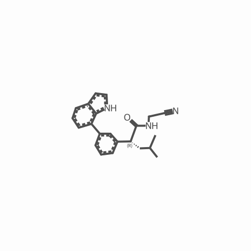 CC(C)C[C@@H](C(=O)NCC#N)c1cccc(-c2cccc3cc[nH]c23)c1